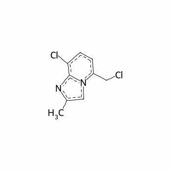 Cc1cn2c(CCl)ccc(Cl)c2n1